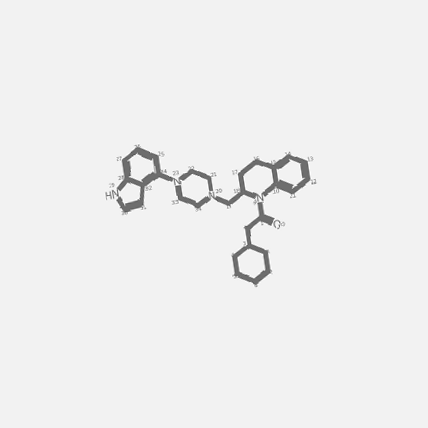 O=C(CC1CCCCC1)N1c2ccccc2CCC1CN1CCN(c2cccc3[nH]ccc23)CC1